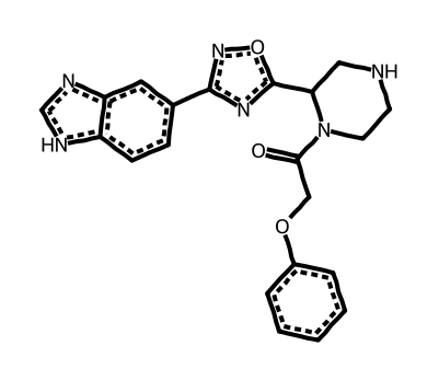 O=C(COc1ccccc1)N1CCNCC1c1nc(-c2ccc3[nH]cnc3c2)no1